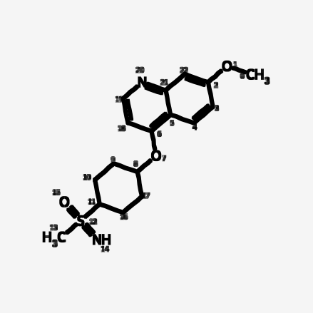 COc1ccc2c(OC3CCC(S(C)(=N)=O)CC3)ccnc2c1